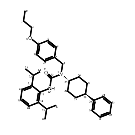 CCCOc1ccc(CN(C(=O)Nc2c(C(C)C)cccc2C(C)C)[C@H]2CC[C@H](c3ccccc3)CC2)cc1